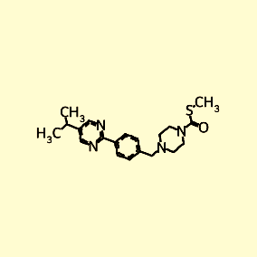 CSC(=O)N1CCN(Cc2ccc(-c3ncc(C(C)C)cn3)cc2)CC1